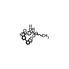 CCCCOC(=O)N[C@H]1CCN(c2c(Cl)cnc3ccc(-c4cccc(F)c4C=O)cc23)C[C@H]1O